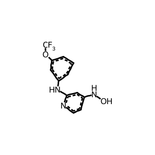 ONc1ccnc(Nc2cccc(OC(F)(F)F)c2)c1